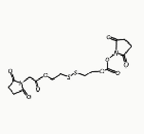 O=C(CN1C(=O)CCC1=O)OCCSSCCOC(=O)ON1C(=O)CCC1=O